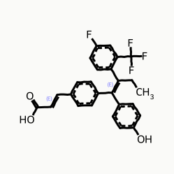 CC/C(=C(\c1ccc(O)cc1)c1ccc(/C=C/C(=O)O)cc1)c1ccc(F)cc1C(F)(F)F